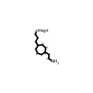 CCCCCCCCCCC1CCCC(CCN)CC1